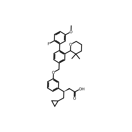 COc1ccc(F)c(-c2ccc(COc3cccc([C@@H](CC(=O)O)CC4CC4)c3)cc2C2OCCCC2(C)C)c1